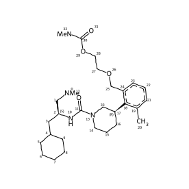 CNC[C@H](CC1CCCCC1)NC(=O)N1CCC[C@H](c2c(C)cccc2COCCOC(=O)NC)C1